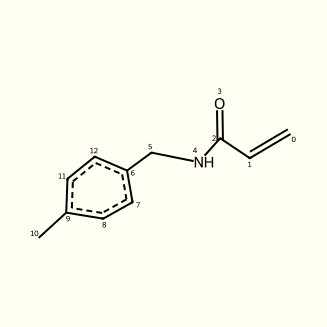 C=CC(=O)NCc1ccc(C)cc1